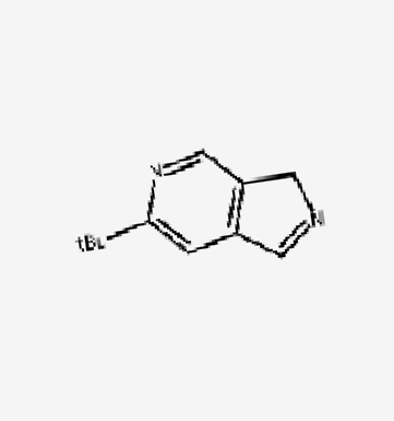 CC(C)(C)c1cc2c(cn1)CN=C2